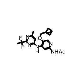 CC(=O)Nc1cc(Nc2cc(C)nc(C(C)(F)F)n2)c(OCC23CC(C2)C3)cn1